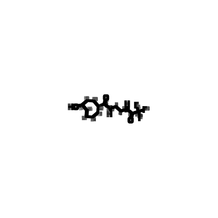 O=C(NCCNC(=O)C(F)(F)F)[C@H]1CC/C=C/C(O)CC1